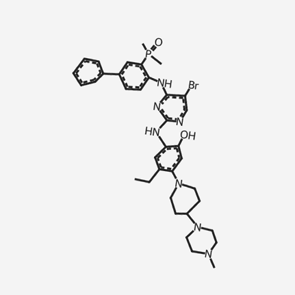 CCc1cc(Nc2ncc(Br)c(Nc3ccc(-c4ccccc4)cc3P(C)(C)=O)n2)c(O)cc1N1CCC(N2CCN(C)CC2)CC1